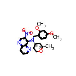 COc1ccc(CN(c2c([N+](=O)[O-])cnc3cccnc23)[C@H]2CCO[C@@H](C)C2)c(OC)c1